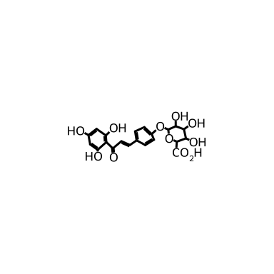 O=C(C=Cc1ccc(OC2OC(C(=O)O)C(O)C(O)C2O)cc1)c1c(O)cc(O)cc1O